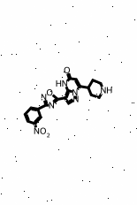 O=c1cc(C2CCNCC2)n2ncc(-c3nc(-c4cccc([N+](=O)[O-])c4)no3)c2[nH]1